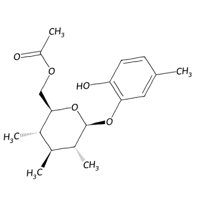 CC(=O)OC[C@H]1O[C@@H](Oc2cc(C)ccc2O)[C@H](C)[C@@H](C)[C@@H]1C